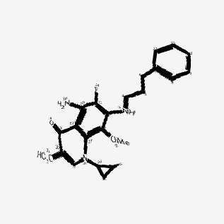 COc1c(NCCCc2ccccc2)c(F)c(N)c2c(=O)c(C(=O)O)cn(C3CC3)c12